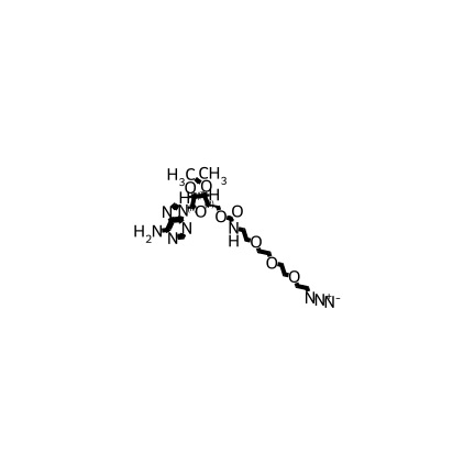 CC1(C)O[C@@H]2[C@H](O1)[C@@H](COC(=O)NCCOCCOCCOCCN=[N+]=[N-])O[C@H]2n1cnc2c(N)ncnc21